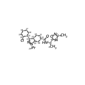 Cc1noc([C@@H](C)NC(=O)c2ccc3c(-c4ccccc4Cl)nn(C(C)C)c3c2)n1